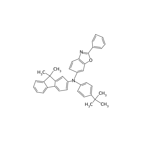 CC(C)(C)c1ccc(N(c2ccc3c(c2)C(C)(C)c2ccccc2-3)c2ccc3nc(-c4ccccc4)oc3c2)cc1